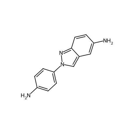 Nc1ccc(-n2cc3cc(N)ccc3n2)cc1